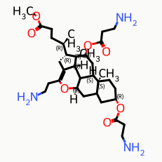 COC(=O)CC[C@@H](C)[C@H]1CC2=C(CCN)O[C@@H]3CC4C[C@H](OC(=O)CCN)CC[C@]4(C)[C@H]4C[C@H](OC(=O)CCN)[C@@]1(C)[C@@H]2C34